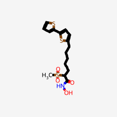 CS(=O)(=O)C(CCCCCc1ccc(-c2cccs2)s1)C(=O)NO